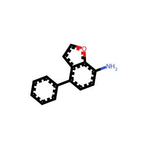 Nc1ccc(-c2ccccc2)c2ccoc12